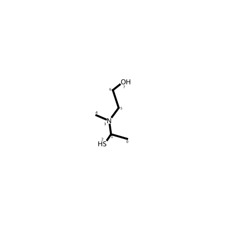 CC(S)N(C)CCO